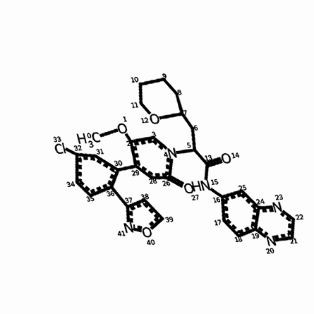 COc1cn(C(CC2CCCCO2)C(=O)Nc2ccc3nccnc3c2)c(=O)cc1-c1cc(Cl)ccc1-c1ccon1